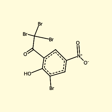 O=C(c1cc([N+](=O)[O-])cc(Br)c1O)C(Br)(Br)Br